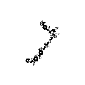 Cc1ncsc1-c1ccc(CNC(=O)[C@@H]2C[C@@H](O)CN2C(=O)C(NC(=O)CCOCCC(=O)NCCn2ncc3cc(C(=O)Nc4ccc5[nH]c(CN6CCC[C@@H]6C)nc5c4)ccc32)C(C)(C)C)cc1